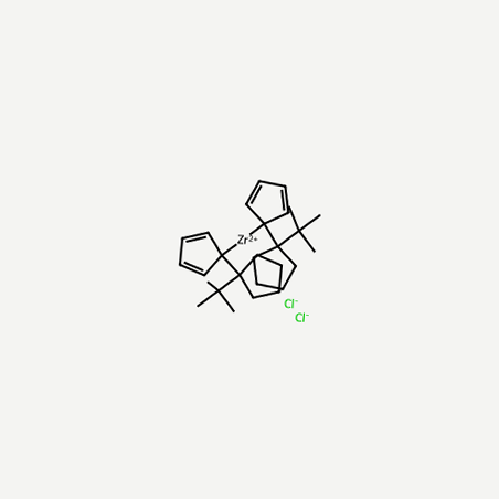 CC(C)(C)C1([C]2([Zr+2][C]3(C4(C(C)(C)C)CCCC4)C=CC=C3)C=CC=C2)CCCC1.[Cl-].[Cl-]